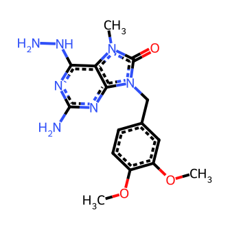 COc1ccc(Cn2c(=O)n(C)c3c(NN)nc(N)nc32)cc1OC